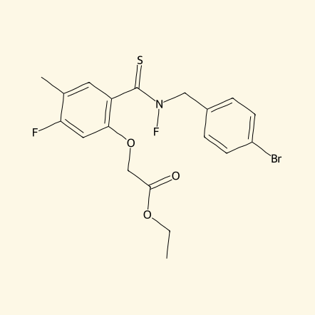 CCOC(=O)COc1cc(F)c(C)cc1C(=S)N(F)Cc1ccc(Br)cc1